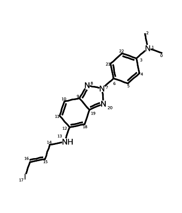 CN(C)c1ccc(-n2nc3ccc(NC/C=C/I)cc3n2)cc1